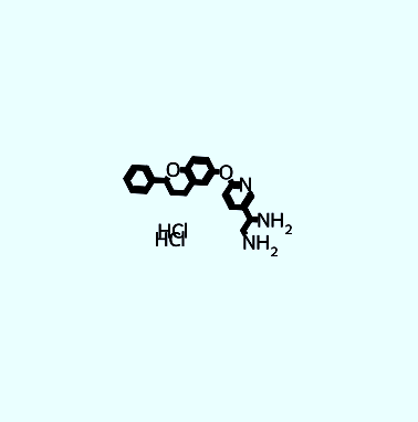 Cl.Cl.NCC(N)c1ccc(Oc2ccc3c(c2)CCC(c2ccccc2)O3)nc1